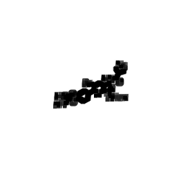 CCCCCCn1nc(NC(=O)c2cnsc2)c2cc(Br)c(-c3ccc(OP(=O)(O)CCC)cc3)nc21